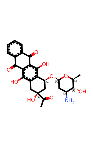 CC(=O)[C@]1(O)Cc2c(O)c3c(c(O)c2[C@@H](O[C@H]2C[C@H](N)[C@@H](O)[C@H](C)O2)C1)C(=O)c1ccccc1C3=O